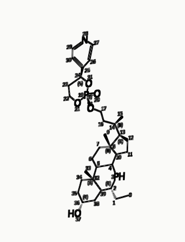 CC[C@H]1PC2C(CC[C@@]3(C)C2CC[C@@H]3[C@H](C)CCO[P@@]2(=O)OCC[C@@H](c3ccncc3)O2)[C@@]2(C)CC[C@@H](O)CC12